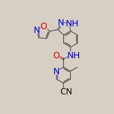 Cc1cc(C#N)cnc1C(=O)Nc1ccc2[nH]nc(-c3ccno3)c2c1